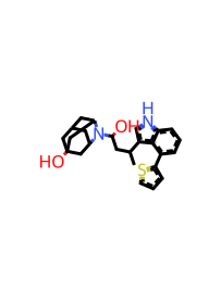 CC(CC(O)N1C2CC3CC1CC(O)(C3)C2)c1c[nH]c2cccc(-c3cccs3)c12